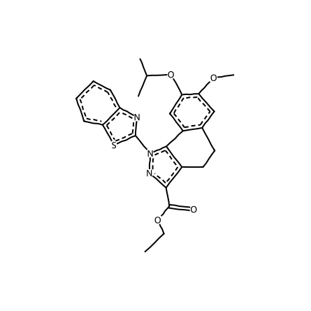 CCOC(=O)c1nn(-c2nc3ccccc3s2)c2c1CCc1cc(OC)c(OC(C)C)cc1-2